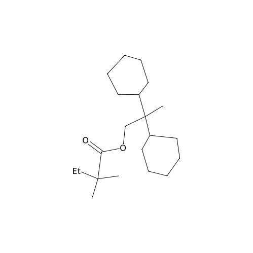 CCC(C)(C)C(=O)OCC(C)(C1CCCCC1)C1CCCCC1